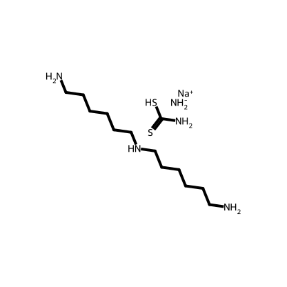 NC(=S)S.NCCCCCCNCCCCCCN.[NH2-].[Na+]